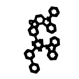 C1=CC2C(c3ccccc3N2c2ccccc2)c2c1oc1ccc(-c3nc(-c4cccc(-c5ccccc5)c4)nc(-n4c5ccccc5c5ccccc54)n3)cc21